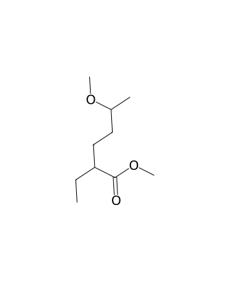 CCC(CCC(C)OC)C(=O)OC